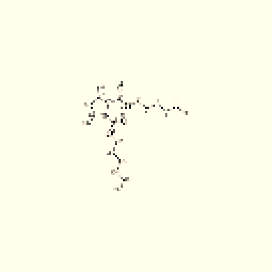 CCCCCCOC(=O)C1C(C)CC(C)C1C(=O)OCCCCCC